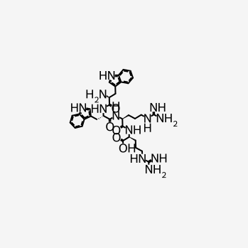 N=C(N)NCCC[C@H](NC(=O)[C@H](CCCNC(=N)N)NC(=O)[C@H](Cc1c[nH]c2ccccc12)NC(=O)[C@@H](N)Cc1c[nH]c2ccccc12)C(=O)O